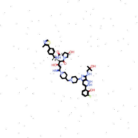 Cc1ncsc1-c1ccc([C@H](C)NC(=O)[C@@H]2C[C@@H](O)CN2C(=O)C(/C(O)=C/C(=N)N2CCC(CN3CCC(n4nc(NCC(C)(C)O)c5c4C=C(c4cccc(F)c4O)NN5)CC3)CC2)C(C)C)cc1